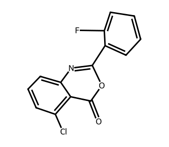 O=c1oc(-c2ccccc2F)nc2cccc(Cl)c12